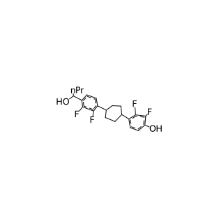 CCCC(O)c1ccc(C2CCC(c3ccc(O)c(F)c3F)CC2)c(F)c1F